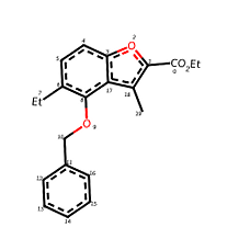 CCOC(=O)c1oc2ccc(CC)c(OCc3ccccc3)c2c1C